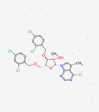 Cc1cn([C@@H]2O[C@H](COCc3ccc(Cl)cc3Cl)[C@@H](OCc3ccc(Cl)cc3Cl)[C@@]2(C)O)c2ncnc(Cl)c12